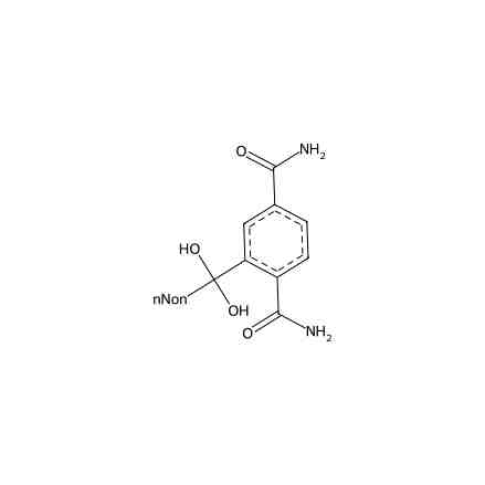 CCCCCCCCCC(O)(O)c1cc(C(N)=O)ccc1C(N)=O